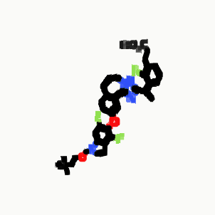 CCOC(=O)CCc1cccc(C(C)c2nc3n(n2)CC=Cc2ccc(Oc4c(F)cc5c(ccn5COCC[Si](C)(C)C)c4F)cc2-3)c1F